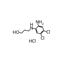 Cl.Nc1cc(Cl)c(Cl)cc1NCCCO